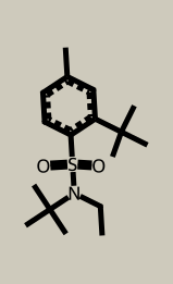 CCN(C(C)(C)C)S(=O)(=O)c1ccc(C)cc1C(C)(C)C